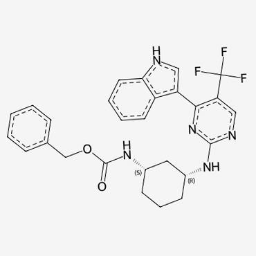 O=C(N[C@H]1CCC[C@@H](Nc2ncc(C(F)(F)F)c(-c3c[nH]c4ccccc34)n2)C1)OCc1ccccc1